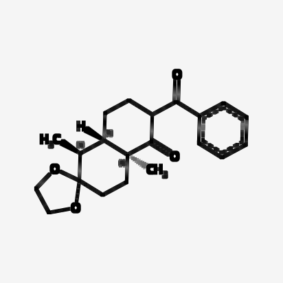 C[C@H]1[C@@H]2CCC(C(=O)c3ccccc3)C(=O)[C@@]2(C)CCC12OCCO2